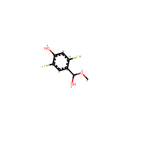 COC(O)c1cc(F)c(O)cc1F